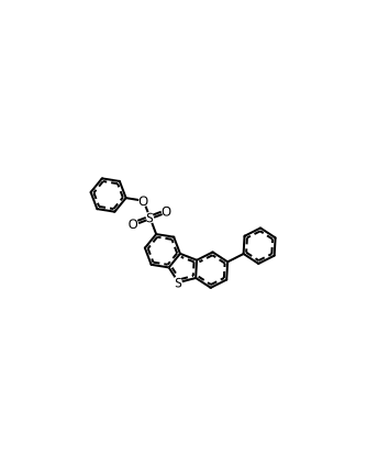 O=S(=O)(Oc1ccccc1)c1ccc2sc3ccc(-c4ccccc4)cc3c2c1